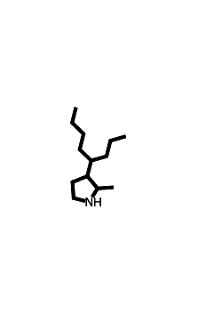 CCCCC(CCC)C1CCNC1C